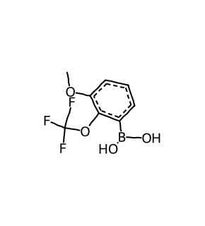 COc1cccc(B(O)O)c1OC(F)(F)F